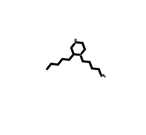 CCCCCC1CNCCN1CCCCN